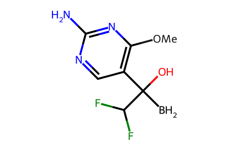 BC(O)(c1cnc(N)nc1OC)C(F)F